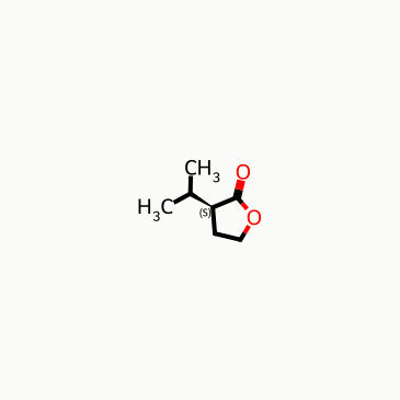 CC(C)[C@@H]1CCOC1=O